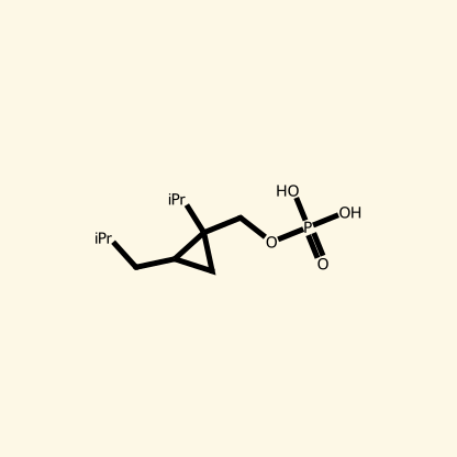 CC(C)CC1CC1(COP(=O)(O)O)C(C)C